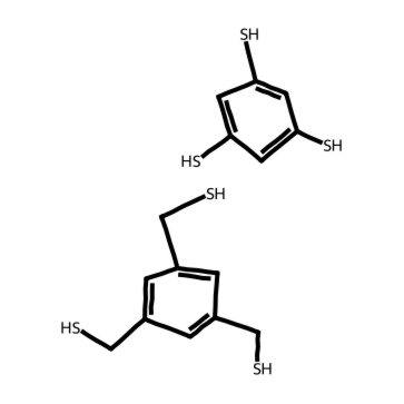 SCc1cc(CS)cc(CS)c1.Sc1cc(S)cc(S)c1